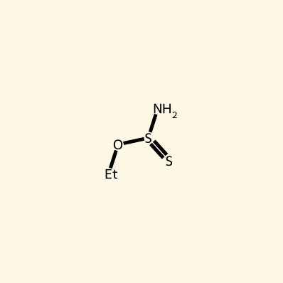 CCOS(N)=S